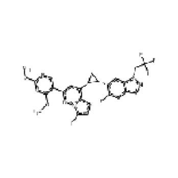 COc1ncc(-c2cc([C@H]3C[C@@H]3c3cc4c(cnn4CC(F)(F)F)cc3F)c3ncc(F)n3n2)c(OC)n1